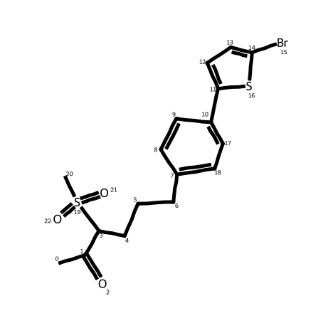 CC(=O)C(CCCc1ccc(-c2ccc(Br)s2)cc1)S(C)(=O)=O